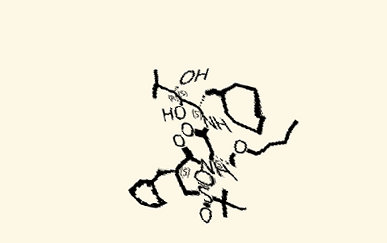 CCCCOC[C@H](NC(=O)[C@H](Cc1ccccc1)CS(=O)(=O)C(C)(C)C)C(=O)N[C@@H](CC1CCCCC1)[C@@H](O)[C@@H](O)C(C)C